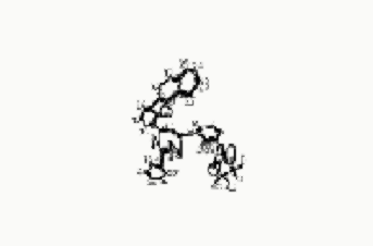 CC1(C)OB(c2cccc(-c3cc(-c4cccc5c4oc4c6ccccc6ccc54)nc(-c4ccccc4)n3)c2)OC1(C)C